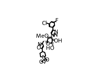 CO[C@@H]1[C@@H](n2cc(-c3cc(F)cc(Cl)c3)nn2)[C@@H](O)[C@@H](CO)O[C@@H]1Cc1cc(C2CCN(S(C)(=O)=O)CC2)on1